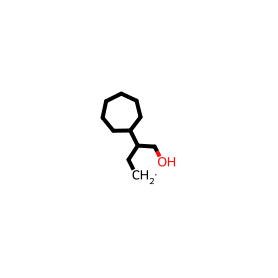 [CH2]CC(CO)C1CCCCCC1